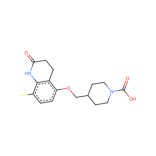 O=C1CCc2c(OCC3CCN(C(=O)O)CC3)ccc(F)c2N1